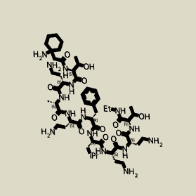 CCNC(=O)[C@@H](NC(=O)[C@H](CCN)NC(=O)[C@H](CCN)NC(=O)[C@H](CC(C)C)NC(=O)[C@@H](Cc1ccccc1)NC(=O)[C@H](CCN)NC(=O)[C@H](C)NC(=O)[C@H](CCN)NC(=O)[C@@H](NC(=O)CC1(N)CCCCC1)C(C)O)C(C)O